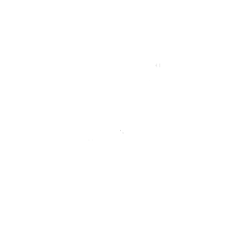 OCC(O)C/N=C/c1ccc(O)cc1